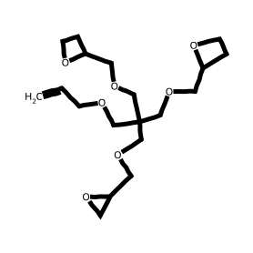 C=CCOCC(COCC1CCO1)(COCC1CCO1)COCC1CO1